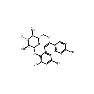 OC[C@@H]1O[C@H](Oc2c(O)cc(O)cc2C=Cc2ccc(O)cc2)[C@@H](O)[C@H](O)[C@H]1O